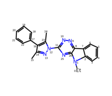 CCn1c2ccccc2c2nnc(-n3nc(C)c(-c4ccccc4)c3C)nc21